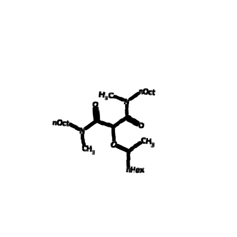 CCCCCCCCN(C)C(=O)C(OC(C)CCCCCC)C(=O)N(C)CCCCCCCC